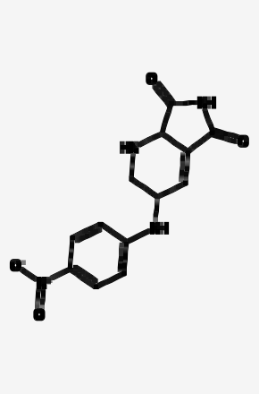 O=C1NC(=O)C2NCC(Nc3ccc([N+](=O)[O-])cc3)C=C12